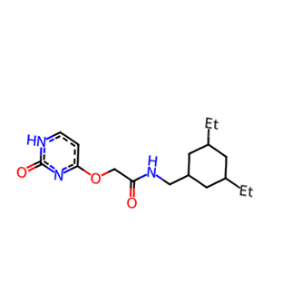 CCC1CC(CC)CC(CNC(=O)COc2cc[nH]c(=O)n2)C1